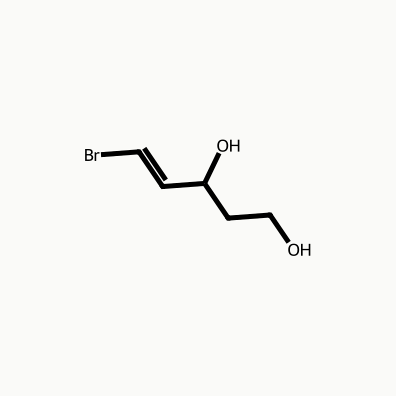 OCCC(O)/C=C/Br